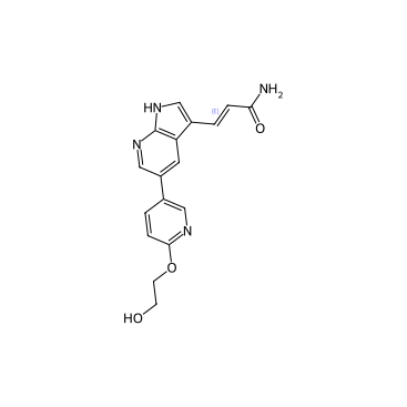 NC(=O)/C=C/c1c[nH]c2ncc(-c3ccc(OCCO)nc3)cc12